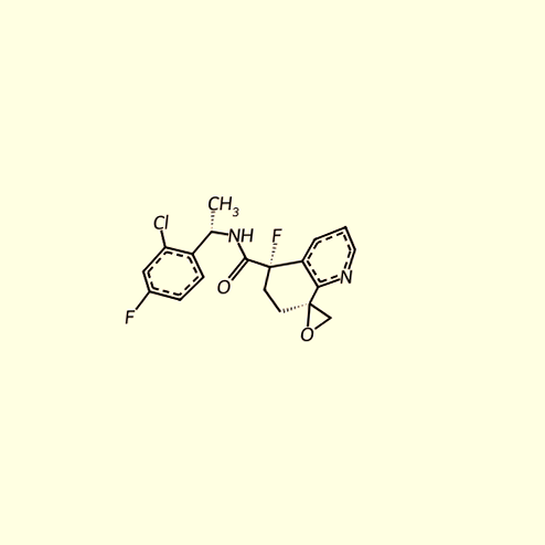 C[C@H](NC(=O)[C@]1(F)CC[C@@]2(CO2)c2ncccc21)c1ccc(F)cc1Cl